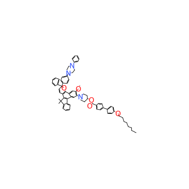 CCCCCCCCOc1ccc(-c2ccc(C(=O)OC3CCN(c4cc5c6c(c7c(c5cc4OC)OC(c4ccccc4)(c4ccc(N5CCN(c8ccccc8)CC5)cc4)C=C7)C(C)(C)c4ccccc4-6)CC3)cc2)cc1